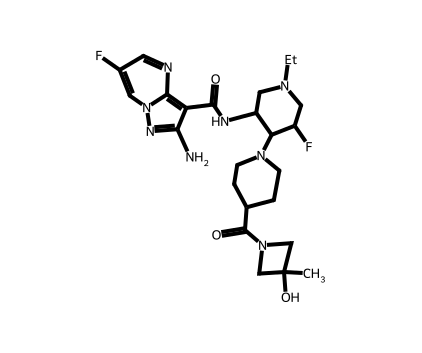 CCN1CC(F)C(N2CCC(C(=O)N3CC(C)(O)C3)CC2)C(NC(=O)c2c(N)nn3cc(F)cnc23)C1